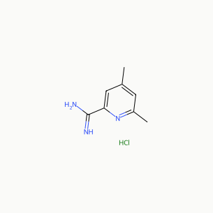 Cc1cc(C)nc(C(=N)N)c1.Cl